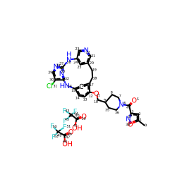 Cc1cc(C(=O)N2CCC(COc3ccc4cc3CCc3cncc(c3)Nc3ncc(Cl)c(n3)N4)CC2)no1.O=C(O)C(F)(F)F.O=C(O)C(F)(F)F